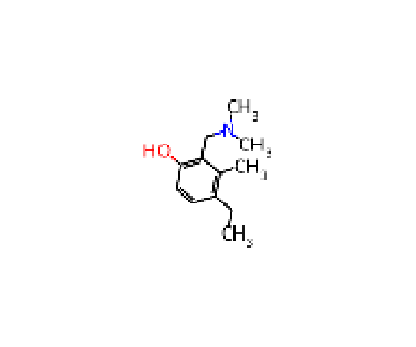 CCc1ccc(O)c(CN(C)C)c1C